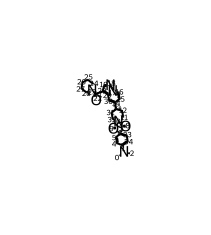 CN(C)c1ccc(S(=O)(=O)N2CCC(c3ccn4ncc(C(=O)N5CCCCC5)c4c3)CC2)cc1